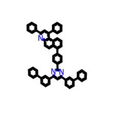 c1ccc(-c2cccc(-c3cc(-c4cccc(-c5ccccc5)c4)nc(-c4ccc(-c5cccc6c5ccc5nc(-c7ccccc7)cc(-c7ccccc7)c56)cc4)n3)c2)cc1